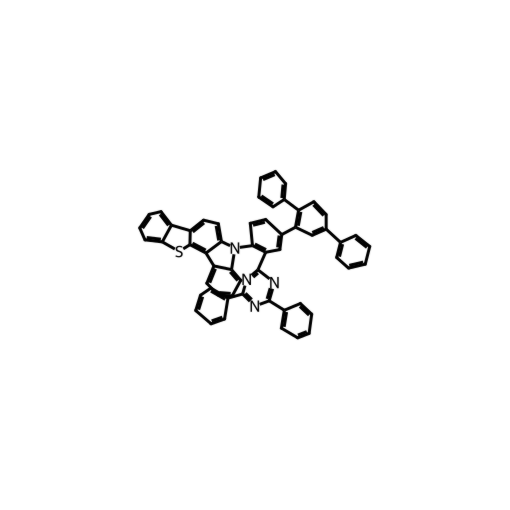 c1ccc(-c2ccc(-c3ccccc3)c(-c3ccc(-n4c5ccccc5c5c6sc7ccccc7c6ccc54)c(-c4nc(-c5ccccc5)nc(-c5ccccc5)n4)c3)c2)cc1